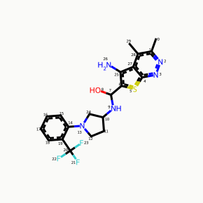 Cc1nnc2sc(C(O)NC3CCN(c4ccccc4C(F)(F)F)C3)c(N)c2c1C